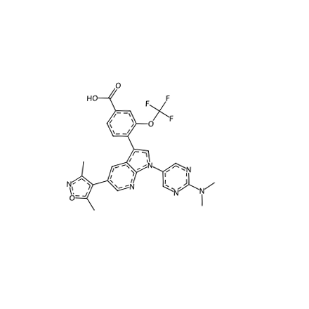 Cc1noc(C)c1-c1cnc2c(c1)c(-c1ccc(C(=O)O)cc1OC(F)(F)F)cn2-c1cnc(N(C)C)nc1